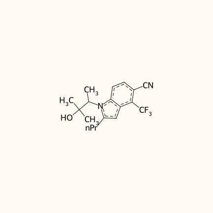 CCCc1cc2c(C(F)(F)F)c(C#N)ccc2n1C(C)C(C)(C)O